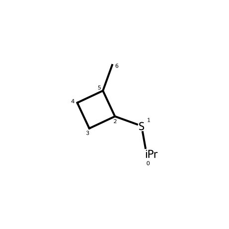 CC(C)SC1CCC1C